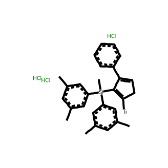 Cc1cc(C)cc([Si](C)(C2=[C]([Ti])CC=C2c2ccccc2)c2cc(C)cc(C)c2)c1.Cl.Cl.Cl